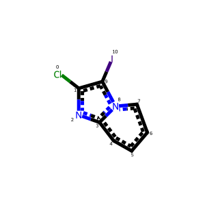 Clc1nc2ccccn2c1I